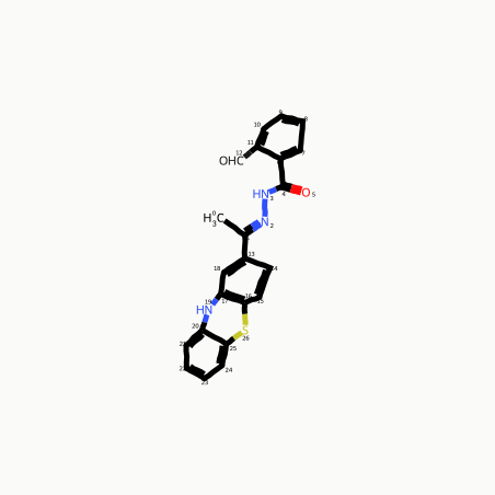 C/C(=N\NC(=O)c1ccccc1C=O)c1ccc2c(c1)Nc1ccccc1S2